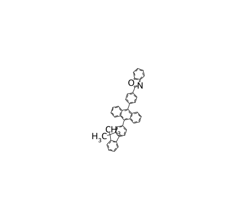 CC1(C)c2ccccc2-c2ccc(-c3c4ccccc4c(-c4ccc(-c5nc6ccccc6o5)cc4)c4ccccc34)cc21